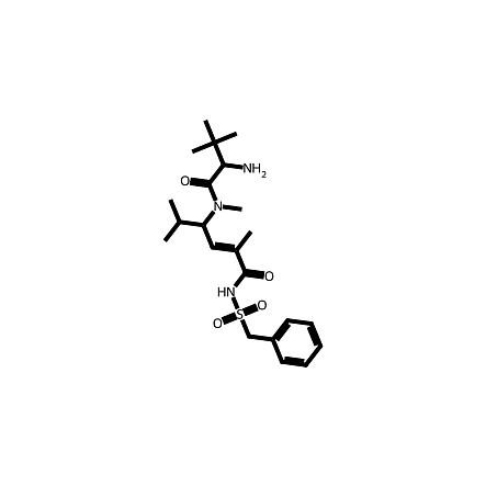 CC(=CC(C(C)C)N(C)C(=O)C(N)C(C)(C)C)C(=O)NS(=O)(=O)Cc1ccccc1